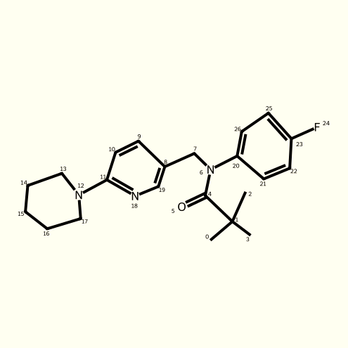 CC(C)(C)C(=O)N(Cc1ccc(N2CCCCC2)nc1)c1ccc(F)cc1